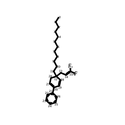 CCCCCCCCCCCCC1(CC=C(F)F)C=CC(c2ccccc2)=CC1